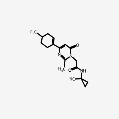 Cc1nc(C2=CCC(C(F)(F)F)CC2)cc(=O)n1CC(=O)NC1(C#N)CC1